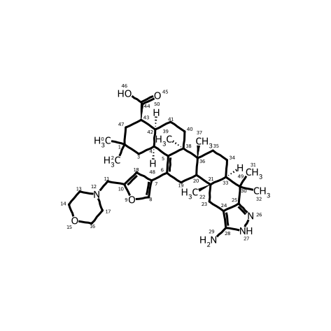 CC1(C)C[C@@H]2C3=C(c4coc(CN5CCOCC5)c4)CC4[C@@]5(C)Cc6c(n[nH]c6N)C(C)(C)[C@@H]5CC[C@@]4(C)[C@]3(C)CC[C@@H]2[C@H](C(=O)O)C1